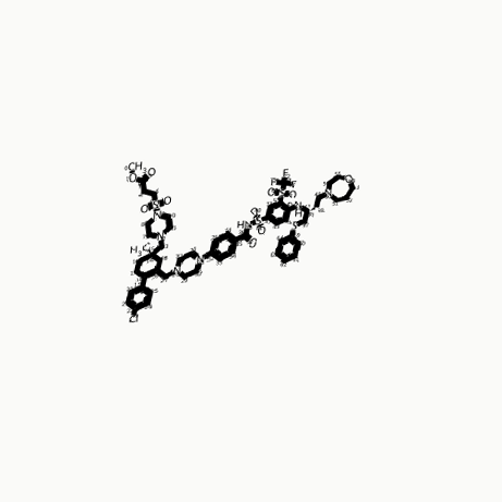 COC(=O)CCS(=O)(=O)N1CCN(C[C@]2(C)CCC(c3ccc(Cl)cc3)=C(CN3CCN(c4ccc(C(=O)NS(=O)(=O)c5ccc(N[C@H](CCN6CCCOCC6)CSc6ccccc6)c(S(=O)(=O)C(F)(F)F)c5)cc4)CC3)C2)CC1